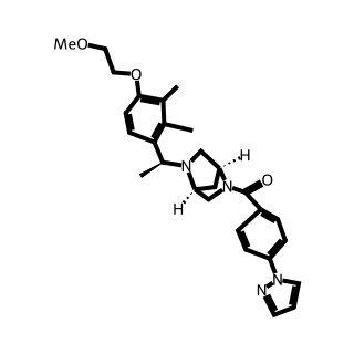 COCCOc1ccc([C@H](C)N2C[C@@H]3C[C@H]2CN3C(=O)c2ccc(-n3cccn3)cc2)c(C)c1C